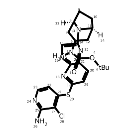 CN(C(=O)OC(C)(C)C)C1C[C@H]2CC[C@@H](C1)N2c1cnc2nc(Sc3ccnc(N)c3Cl)ccc2n1